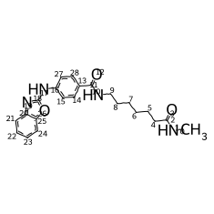 CNC(=O)CCCCCCNC(=O)c1ccc(Nc2nc3ccccc3o2)cc1